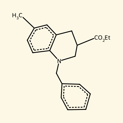 CCOC(=O)C1Cc2cc(C)ccc2N(Cc2ccccc2)C1